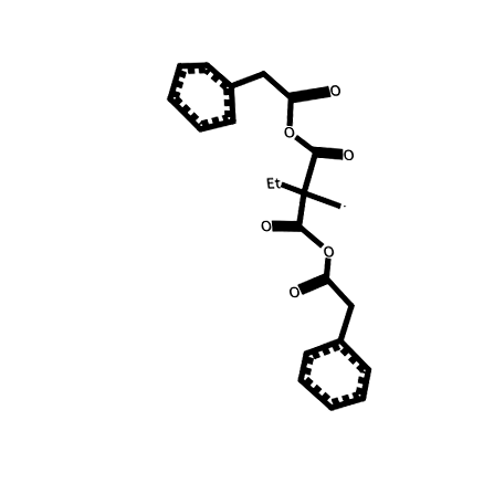 [CH2]C(CC)(C(=O)OC(=O)Cc1ccccc1)C(=O)OC(=O)Cc1ccccc1